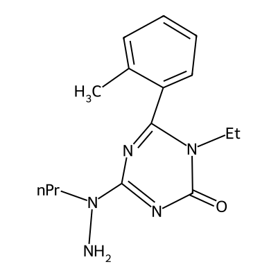 CCCN(N)c1nc(-c2ccccc2C)n(CC)c(=O)n1